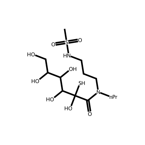 CCCN(CCCNS(C)(=O)=O)C(=O)C(O)(S)C(O)C(O)C(O)CO